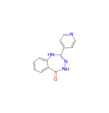 O=C1NN=C(c2ccncc2)Nc2ccccc21